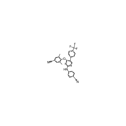 Cc1cc(C#N)cc(C)c1Oc1nc(Nc2ccc(C#N)cc2)ncc1-c1ccc(C(F)(F)F)cc1